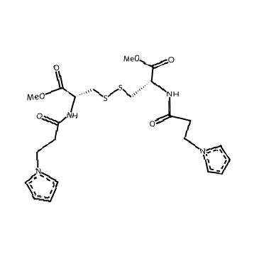 COC(=O)[C@H](CSSC[C@@H](NC(=O)CCn1cccc1)C(=O)OC)NC(=O)CCn1cccc1